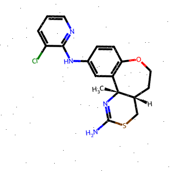 C[C@]12N=C(N)SC[C@H]1CCOc1ccc(Nc3ncccc3Cl)cc12